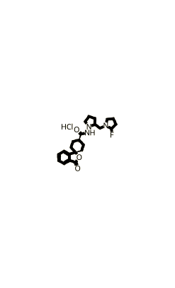 Cl.O=C1O[C@]2(CC[C@H](C(=O)NN3CCCC3CN3CCCC3F)CC2)c2ccccc21